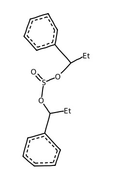 CCC(OS(=O)OC(CC)c1ccccc1)c1ccccc1